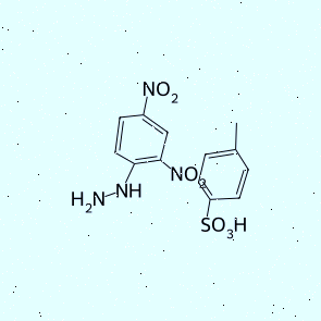 Cc1ccc(S(=O)(=O)O)cc1.NNc1ccc([N+](=O)[O-])cc1[N+](=O)[O-]